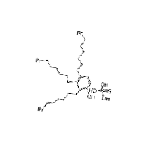 CC(C)CCCCCCc1ccc(O)c(CCCCCCC(C)C)c1CCCCCCC(C)C.OP(O)(O)=S